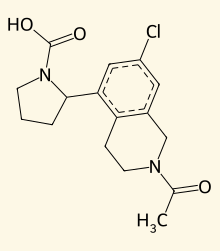 CC(=O)N1CCc2c(cc(Cl)cc2C2CCCN2C(=O)O)C1